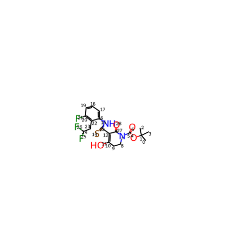 CC(C)(C)OC(=O)N1CCC(O)=C(C(=S)Nc2cccc(F)c2CC(F)F)C1=O